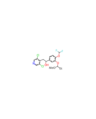 CCC(OC)Oc1cc(C(O)Cc2c(Cl)cncc2Cl)ccc1OC(F)F